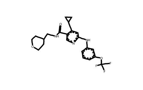 O=C(NCC1CCOCC1)c1cnc(Nc2cccc(OC(F)(F)F)c2)cc1C1CC1